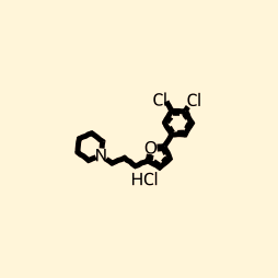 Cl.Clc1ccc(-c2ccc(CCCN3CCCCC3)o2)cc1Cl